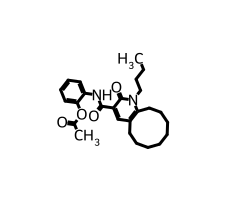 CCCCn1c2c(cc(C(=O)Nc3ccccc3OC(C)=O)c1=O)CCCCCCCC2